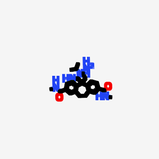 CNC(=O)c1ccc2c(c1)CCc1cc(C(=O)NC)ccc1C2(CCN)C(=N)NC(C)C